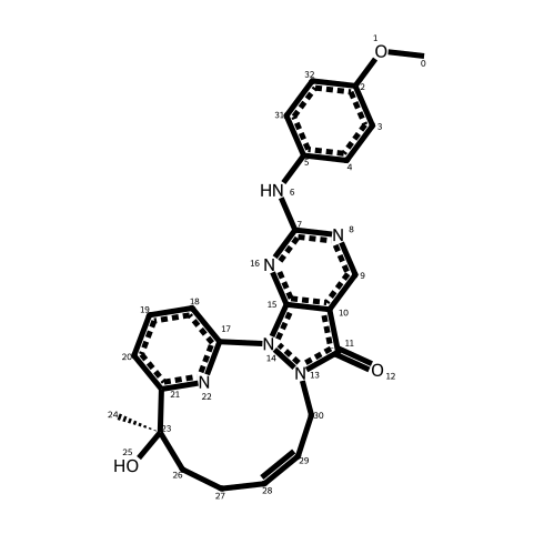 COc1ccc(Nc2ncc3c(=O)n4n(c3n2)-c2cccc(n2)[C@](C)(O)CC/C=C\C4)cc1